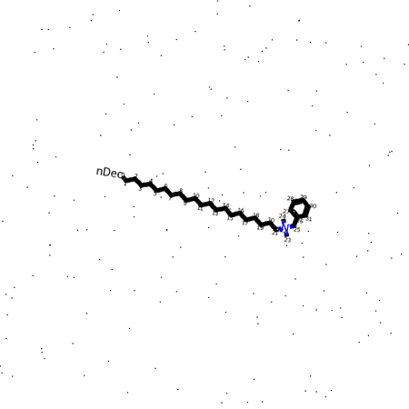 CCCCCCCCCCCCCCCCCCCCCCCCCCCCCCC[N+](C)(C)Cc1ccccc1